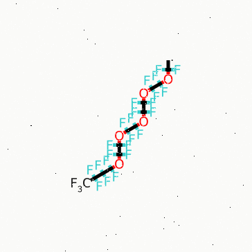 [CH2]C(F)(F)OC(F)(F)C(F)(F)OC(F)(F)C(F)(F)OC(F)(F)C(F)(F)OC(F)(F)C(F)(F)OC(F)(F)C(F)(F)C(F)(F)C(F)(F)F